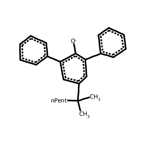 CCCCCC(C)(C)c1cc(-c2ccccc2)c([O])c(-c2ccccc2)c1